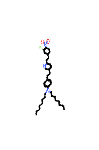 CCCCCCCCN(CCCCCCCC)c1ccc(/C=C/c2ccc(/C=C/c3ccc([N+](=O)[O-])c(F)c3)nc2)cc1